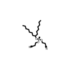 C=P(OCCC#N)(OCCC#N)OC(CCCCCCC)CCCCCCC